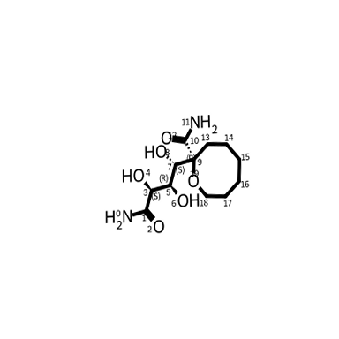 NC(=O)[C@@H](O)[C@H](O)[C@H](O)[C@@]1(C(N)=O)CCCCCCO1